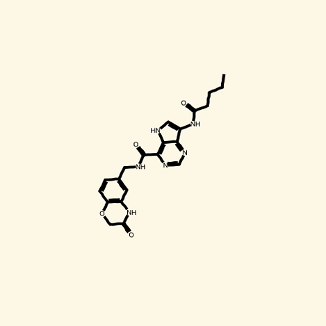 CCCCC(=O)Nc1c[nH]c2c(C(=O)NCc3ccc4c(c3)NC(=O)CO4)ncnc12